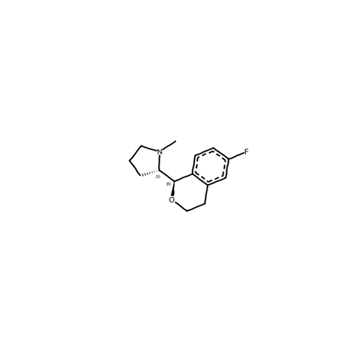 CN1CCC[C@H]1[C@@H]1OCCc2cc(F)ccc21